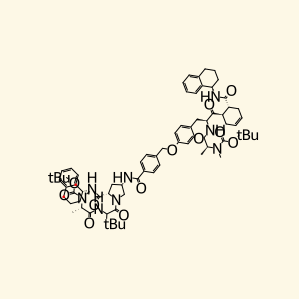 C[C@@H](C(=O)NC(C(=O)N1C[C@@H](NC(=O)c2ccc(COc3ccc(C[C@H](NC(=O)[C@H](C)N(C)C(=O)OC(C)(C)C)C(=O)[C@@H]4CC=CC[C@H]4C(=O)N[C@@H]4CCCc5ccccc54)cc3)cc2)C[C@H]1C(=O)N[C@@H]1CCCc2ccccc21)C(C)(C)C)N(C)C(=O)OC(C)(C)C